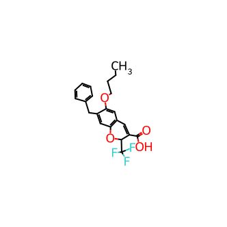 CCCCOc1cc2c(cc1Cc1ccccc1)OC(C(F)(F)F)C(C(=O)O)=C2